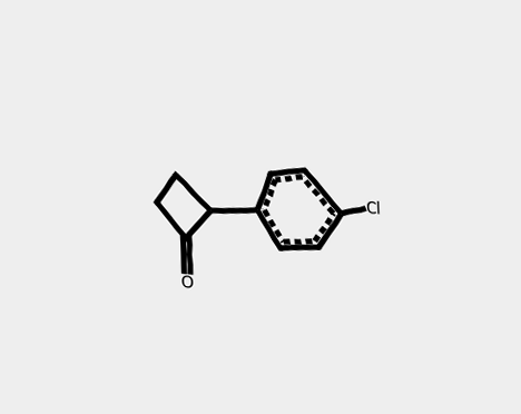 O=C1CCC1c1ccc(Cl)cc1